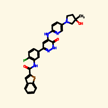 CC1(O)CCN(c2ccc(Nc3cc(-c4ccc(F)c(NC(=O)c5cc6ccccc6s5)c4)n[nH]c3=O)nc2)C1